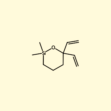 C=CC1(C=C)CCC[Si](C)(C)O1